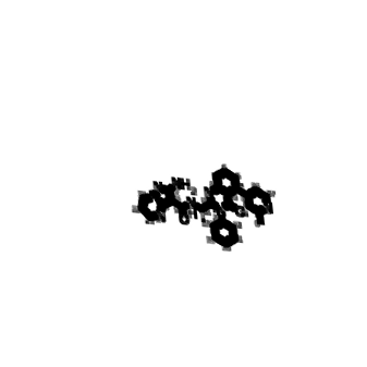 Cc1cc(-c2cccc3nc([C@H](C)NC(=O)c4c(N)nn5cccnc45)n(-c4ccccc4)c(=O)c23)ccn1